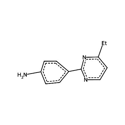 CCc1ccnc(-c2ccc(N)cc2)n1